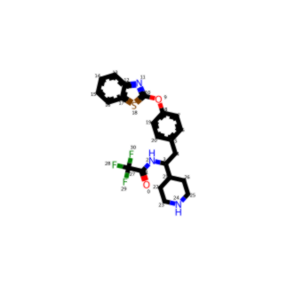 O=C(NC(Cc1ccc(Oc2nc3ccccc3s2)cc1)C1CCNCC1)C(F)(F)F